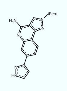 CCCC(C)n1cc2c(N)nc3cc(-c4cc[nH]n4)ccc3c2n1